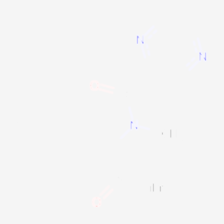 CC(C)C(=O)C(C1CCCCC1)N(C)C(=O)c1cnccn1